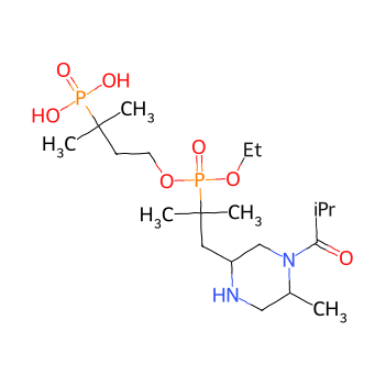 CCOP(=O)(OCCC(C)(C)P(=O)(O)O)C(C)(C)CC1CN(C(=O)C(C)C)C(C)CN1